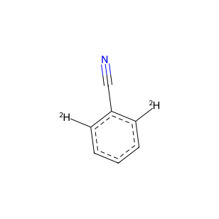 [2H]c1cccc([2H])c1C#N